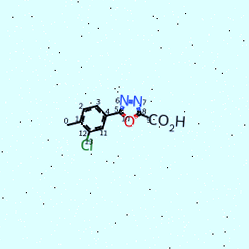 Cc1ccc(-c2nnc(C(=O)O)o2)cc1Cl